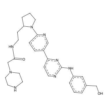 O=C(CN1CCNCC1)NCCC1CCCN1c1ccc(-c2ccnc(Nc3cccc(CO)c3)n2)cn1